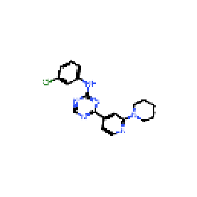 Clc1cccc(Nc2ncnc(-c3ccnc(N4CCCCC4)c3)n2)c1